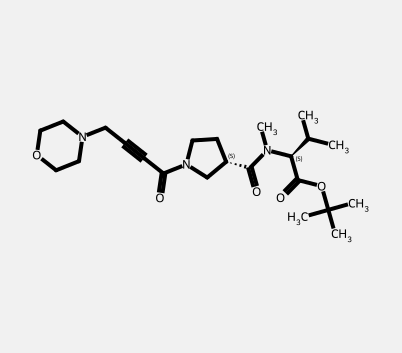 CC(C)[C@@H](C(=O)OC(C)(C)C)N(C)C(=O)[C@H]1CCN(C(=O)C#CCN2CCOCC2)C1